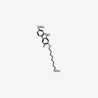 CCCCCCCCCCCCCCCCCCOc1cc2[nH]c3cc(OC)ccc3c2cc1C